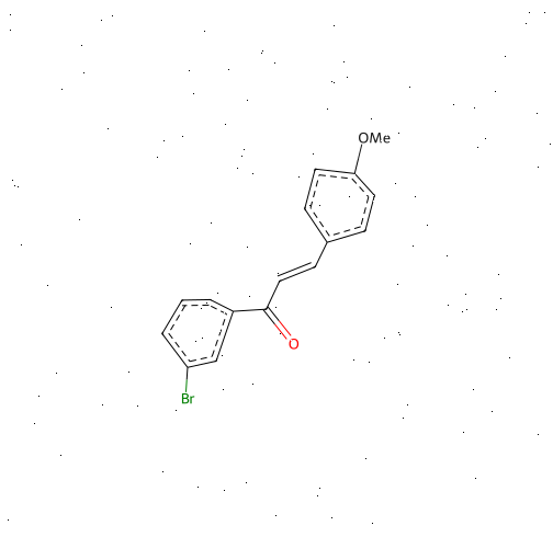 COc1ccc(/C=C/C(=O)c2cccc(Br)c2)cc1